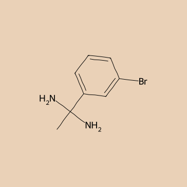 CC(N)(N)c1cccc(Br)c1